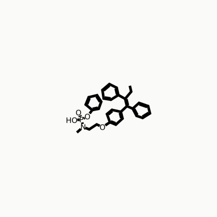 CC/C(=C(\c1ccccc1)c1ccc(OCCN(C)P(=O)(O)Oc2ccccc2)cc1)c1ccccc1